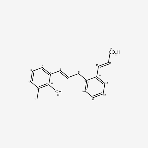 Cc1cccc(C=CCc2ccccc2C=CC(=O)O)c1O